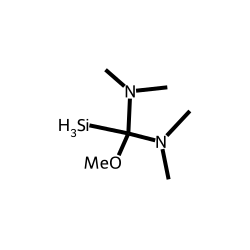 COC([SiH3])(N(C)C)N(C)C